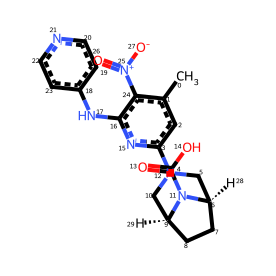 Cc1cc(N2C[C@H]3CC[C@@H](C2)N3C(=O)O)nc(Nc2ccncc2)c1[N+](=O)[O-]